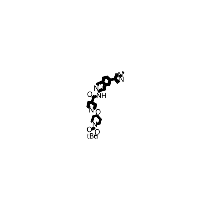 Cn1cc(-c2ccc3cnc(NC(=O)c4ccnc(OC5CCN(C(=O)OC(C)(C)C)CC5)c4)cc3c2)cn1